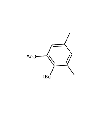 CC(=O)Oc1cc(C)cc(C)c1C(C)(C)C